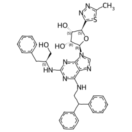 Cc1nnc([C@H]2O[C@@H](n3cnc4c(NCC(c5ccccc5)c5ccccc5)nc(N[C@H](CO)Cc5ccccc5)nc43)[C@H](O)[C@@H]2O)s1